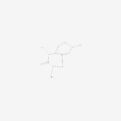 NC1Cc2cc(Br)ccc2N(O)C1=O